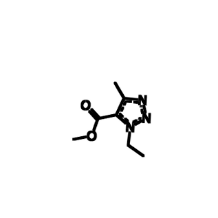 CCn1nnc(C)c1C(=O)OC